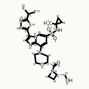 CC1(NS(=O)(=O)c2cc(N3CCO[C@@H](C(=O)N4CC[C@H]4CO)C3)c3ncc(-c4nnc(C(F)F)s4)n3c2)CC1